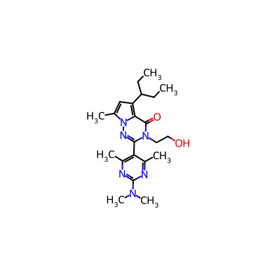 CCC(CC)c1cc(C)n2nc(-c3c(C)nc(N(C)C)nc3C)n(CCO)c(=O)c12